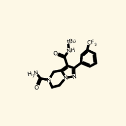 CC(C)(C)NC(=O)c1c(-c2cccc(C(F)(F)F)c2)nn2c1CN(C(N)=O)CC2